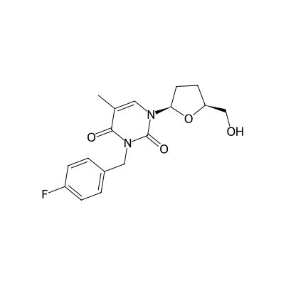 Cc1cn([C@H]2CC[C@@H](CO)O2)c(=O)n(Cc2ccc(F)cc2)c1=O